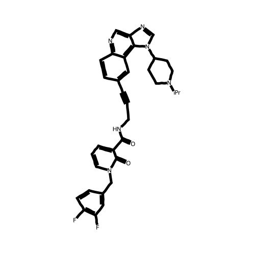 CC(C)N1CCC(n2cnc3cnc4ccc(C#CCNC(=O)c5cccn(Cc6ccc(F)c(F)c6)c5=O)cc4c32)CC1